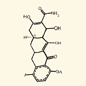 NC(=O)C1=C(O)C[C@@H]2CC3Cc4c(I)ccc(O)c4C(=O)C3=C(O)C2C1O